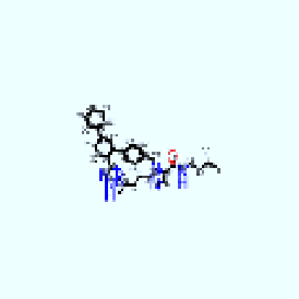 CCCCc1ncc(C(=O)NCCC(C)C)n1Cc1ccc(-c2cc(-c3ccccc3)ccc2-c2nn[nH]n2)cc1